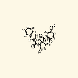 COc1ccc(CC2CC(C)N(C(=O)OCc3ccccc3)C2(N)CO)cc1